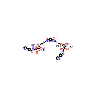 CC(=O)N[C@H]1[C@H]([C@H](O)[C@H](O)CNC(=O)c2ccc(-c3ccccn3)cc2)O[C@@](OCCCSCCNC(=O)c2ccc(C(=O)NCCSCCCO[C@]3(C(=O)O)C[C@H](O)[C@@H](NC(C)=O)[C@H]([C@H](O)[C@@H](O)CNC(=O)c4ccc(-c5ccccn5)cc4)O3)cc2)(C(=O)O)C[C@@H]1O